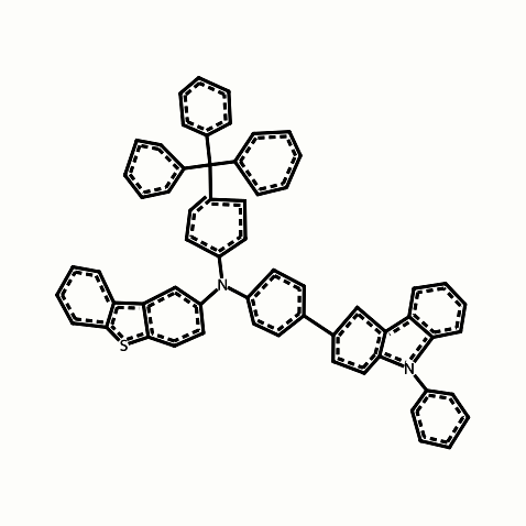 c1ccc(-n2c3ccccc3c3cc(-c4ccc(N(c5ccc(C(c6ccccc6)(c6ccccc6)c6ccccc6)cc5)c5ccc6sc7ccccc7c6c5)cc4)ccc32)cc1